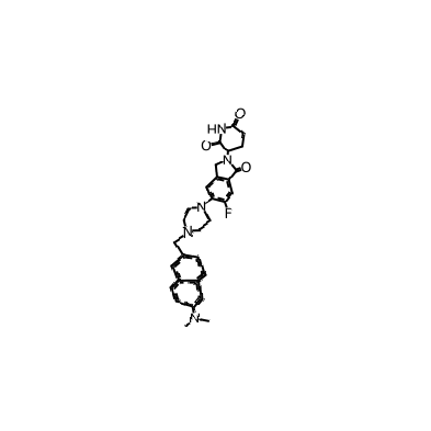 CN(C)c1ccc2cc(CN3CCN(c4cc5c(cc4F)C(=O)N(C4CCC(=O)NC4=O)C5)CC3)ccc2c1